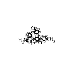 CN1CCN(c2ccc(Nc3cc(Cc4cc(F)ccc4Cl)cnc3C(N)=O)cc2Cl)CC1